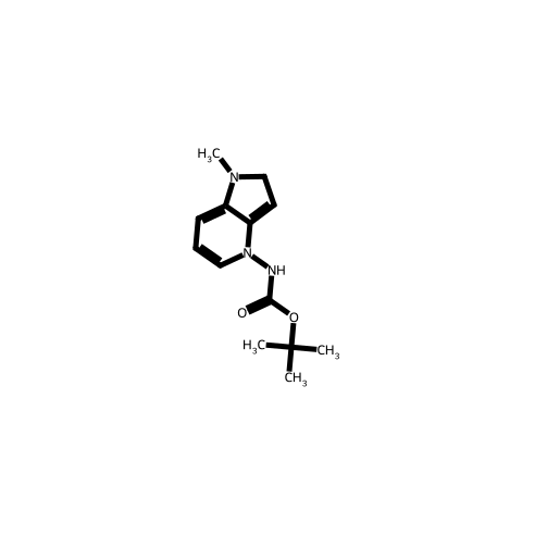 CN1CC=C2C1=CC=CN2NC(=O)OC(C)(C)C